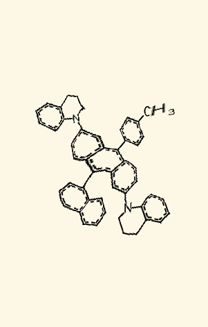 Cc1ccc(-c2c3cc(N4CCCc5ccccc54)ccc3c(-c3cccc4ccccc34)c3cc(N4CCCc5ccccc54)ccc23)cc1